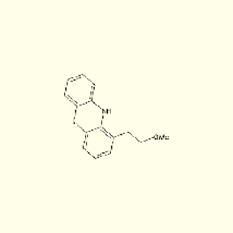 COCCc1cccc2c1Nc1ccccc1S2